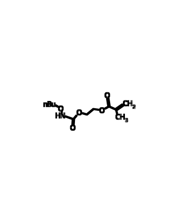 C=C(C)C(=O)OCCOC(=O)NOCCCC